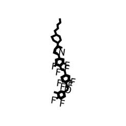 CCCCCC1CCC(c2ccc(-c3cc(F)c(/C(F)=C(\F)c4cc(F)c(C(F)(F)Oc5cc(C)c(F)c(F)c5)c(F)c4)c(F)c3)nc2)CC1